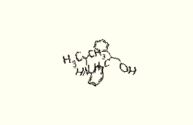 CC(C)Nc1ccccc1.CC(CO)c1ccccc1